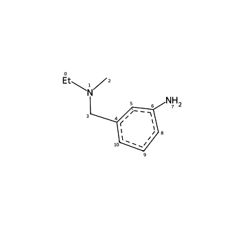 CCN(C)Cc1[c]c(N)ccc1